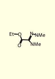 CCOC(=O)/C(=N/NC)NC